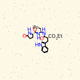 CCOC(=O)[C@H](Cc1c[nH]c2ccccc12)C(=O)N[C@H](CC(C)C)NC(=O)[C@@H]1CCC(=O)N1